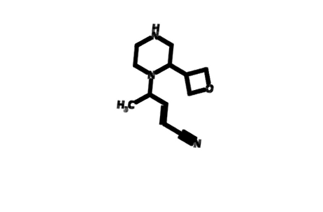 CC(C=CC#N)N1CCNCC1C1COC1